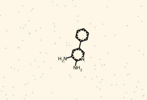 Nc1cc(-c2ccccc2)cnc1N